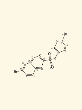 O=S(=O)(Cc1ccc(Br)cc1)c1ccc2cc(Br)ccc2c1